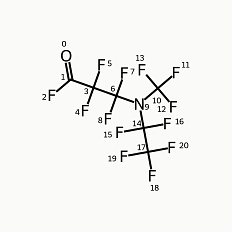 O=C(F)C(F)(F)C(F)(F)N(C(F)(F)F)C(F)(F)C(F)(F)F